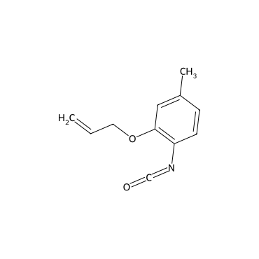 C=CCOc1cc(C)ccc1N=C=O